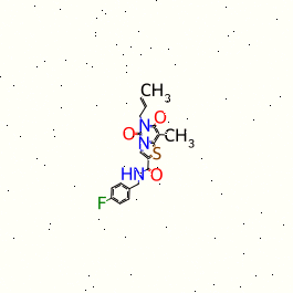 C/C=C/Cn1c(=O)c(C)c2sc(C(=O)NCc3ccc(F)cc3)cn2c1=O